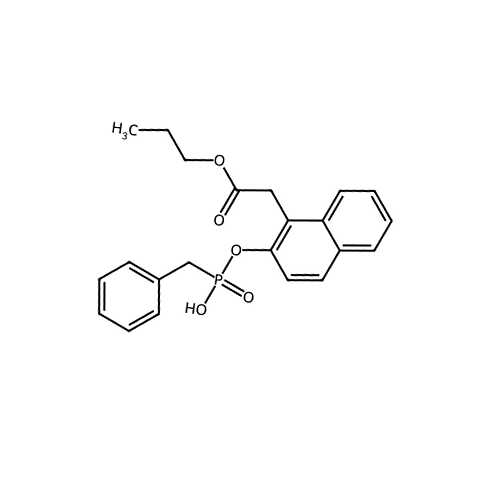 CCCOC(=O)Cc1c(OP(=O)(O)Cc2ccccc2)ccc2ccccc12